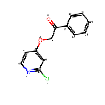 O=C(COc1ccnc(Cl)c1)c1ccccc1